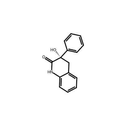 O=C1Nc2ccccc2C[C@]1(O)c1ccccc1